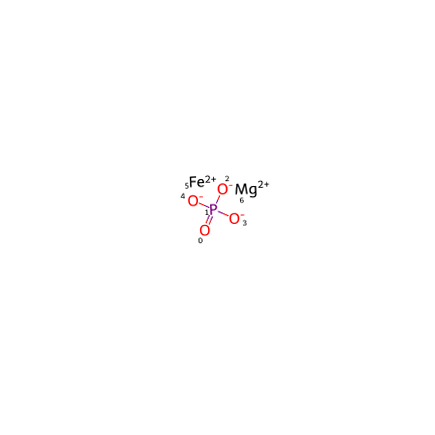 O=P([O-])([O-])[O-].[Fe+2].[Mg+2]